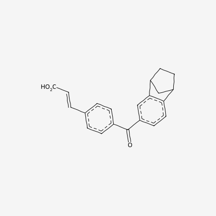 O=C(O)C=Cc1ccc(C(=O)c2ccc3c(c2)C2CCC3C2)cc1